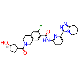 O=C(Nc1cccc(-c2nnc3n2CCCC3)n1)c1cc2c(cc1F)CCN(C(=O)C1CC[C@@H](O)C1)C2